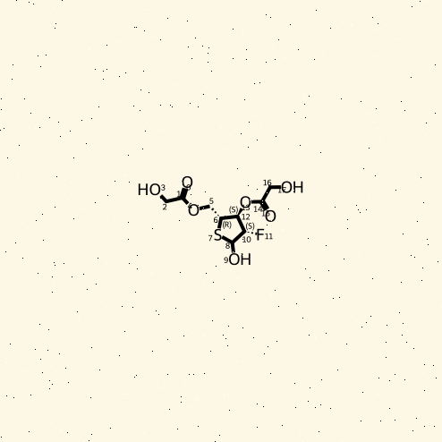 O=C(CO)OC[C@H]1SC(O)[C@@H](F)[C@@H]1OC(=O)CO